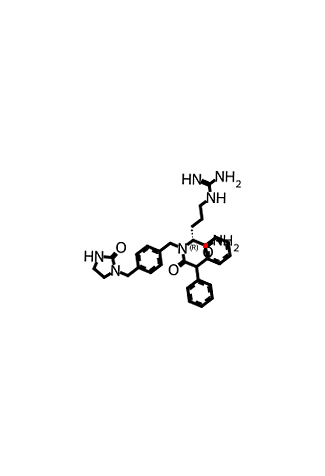 N=C(N)NCCC[C@H](C(N)=O)N(Cc1ccc(CN2CCNC2=O)cc1)C(=O)C(c1ccccc1)c1ccccc1